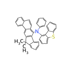 CC1(C)c2ccccc2-c2c1cc1c(ccc3ccccc31)c2N(c1ccccc1)c1cccc2sc3ccccc3c12